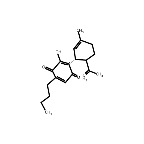 C=C(C)C1CCC(C)=C[C@H]1C1=C(O)C(=O)C(CCCC)=CC1=O